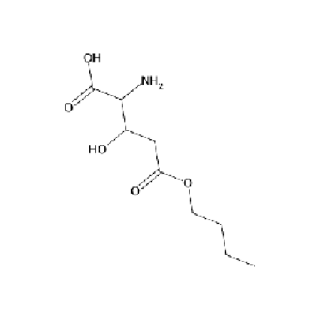 CCCCOC(=O)CC(O)C(N)C(=O)O